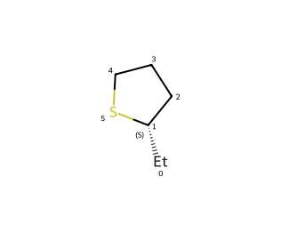 CC[C@H]1CCCS1